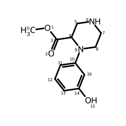 COC(=O)C1CNCCN1c1cccc(O)c1